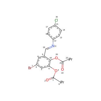 CC(C)C(=O)Oc1cc(Br)cc(C=Nc2ccc(Cl)cc2)c1OC(=O)C(C)C